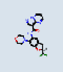 C[C@]1(C(F)F)Cc2cc(NC(=O)/C(C=N)=C3\N=CC=CN3)c(N3CCOCC3)cc2O1